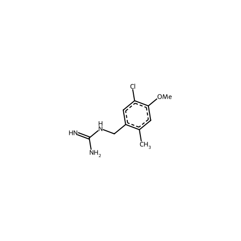 COc1cc(C)c(CNC(=N)N)cc1Cl